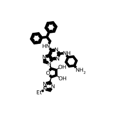 CCn1cnc([C@H]2O[C@@H](n3cnc4c(NCC(c5ccccc5)c5ccccc5)nc(NC5CCC(N)CC5)nc43)[C@H](O)[C@@H]2O)n1